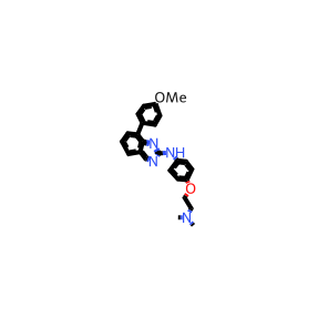 COc1ccc(-c2cccc3cnc(Nc4ccc(OCCN(C)C)cc4)nc23)cc1